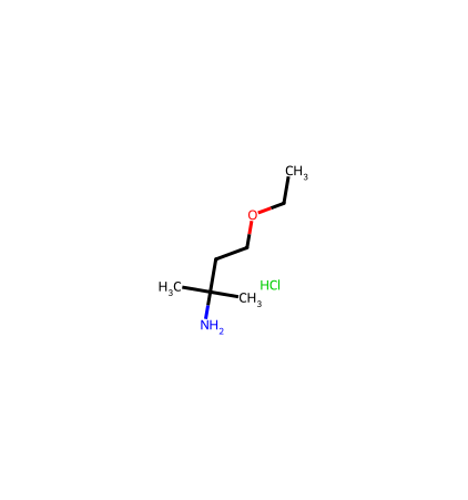 CCOCCC(C)(C)N.Cl